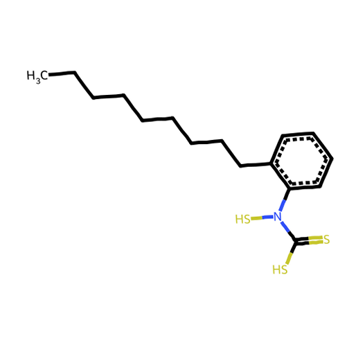 CCCCCCCCCc1ccccc1N(S)C(=S)S